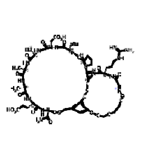 CCCC[C@@H]1NC[C@@H]2CCCN2C(=O)[C@@H]2CSCc3cc(cc(c3)OCCCCCCO/N=C/C(=O)N[C@@H](CCCNC(=N)N)C(=O)N2)CSC[C@@H](C(N)=O)NC(=O)[C@H](CCC(=O)O)NC(=O)[C@H](C)NC(=O)[C@H](C)NC(=O)[C@H]([C@@H](C)CC)NC(=O)[C@H](CC(=O)O)NC1=O